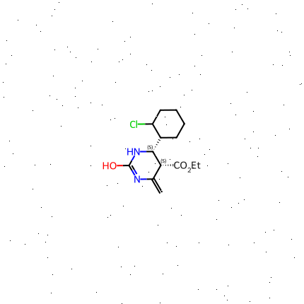 C=C1N=C(O)N[C@H](C2CCCCC2Cl)[C@@H]1C(=O)OCC